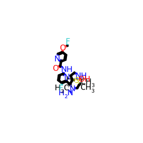 CC1(C)CN(N)[C@](C)(c2nc(NC(=O)c3ccc(OCF)cn3)ccc2F)[C@H]2CCNS21O